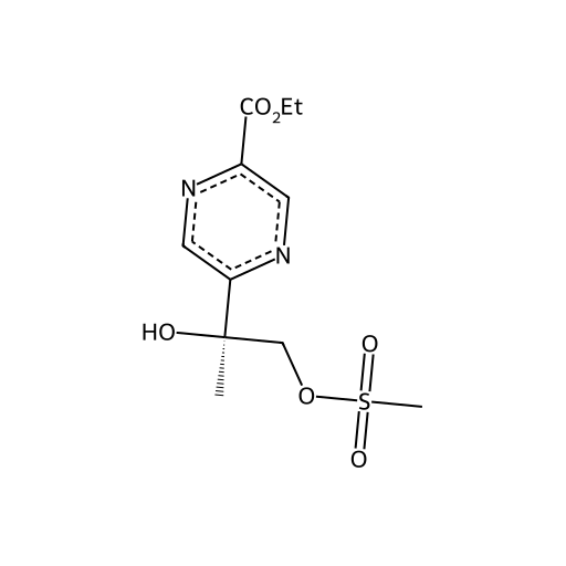 CCOC(=O)c1cnc([C@](C)(O)COS(C)(=O)=O)cn1